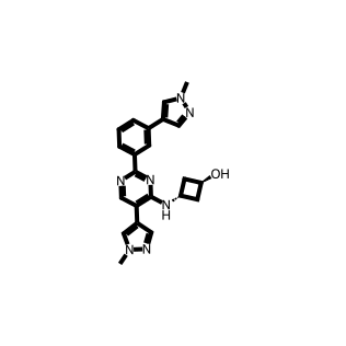 Cn1cc(-c2cccc(-c3ncc(-c4cnn(C)c4)c(N[C@H]4C[C@H](O)C4)n3)c2)cn1